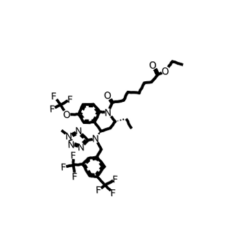 CCOC(=O)CCCCCC(=O)N1c2ccc(OC(F)(F)F)cc2[C@@H](N(Cc2cc(C(F)(F)F)cc(C(F)(F)F)c2)c2nnn(C)n2)C[C@H]1CC